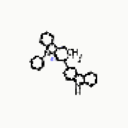 C=C(/C=c1\c(=C/C)c2ccccc2n1-c1ccccc1)c1ccc2[nH]c3ccccc3c2c1